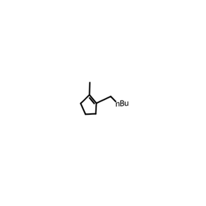 CCCCCC1=C(C)CCC1